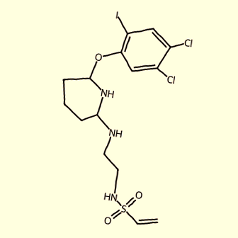 C=CS(=O)(=O)NCCNC1CCCC(Oc2cc(Cl)c(Cl)cc2I)N1